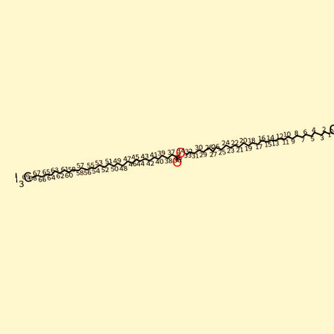 CCCCCCCCCCCCCCCCCCCCCCCCCCCCCCCCCCOC(=O)CCCCCCCCCCCCCCCCCCCCCCCCCCCCCCCCC